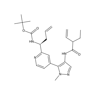 C=CC[C@H](NC(=O)OC(C)(C)C)c1cc(-c2c(NC(=O)C(C=C)CC)cnn2C)ccn1